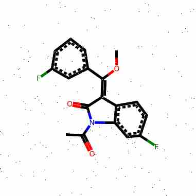 COC(=C1C(=O)N(C(C)=O)c2cc(F)ccc21)c1cccc(F)c1